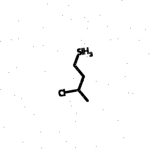 CC(Cl)CC[SiH3]